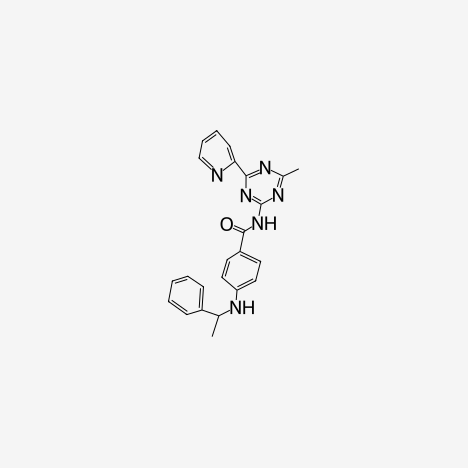 Cc1nc(NC(=O)c2ccc(NC(C)c3ccccc3)cc2)nc(-c2ccccn2)n1